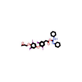 O=C(Cc1cc(I)c(OC2=CC(I)C(OCC3CO3)C(I)=C2)c(I)c1)O/C(=N/C1CCCCC1)NC1CCCCC1